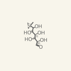 C[Si](C)(C)C(O)[C@@H](O)[C@@H](O)[C@H](O)[C@@H](O)C=O